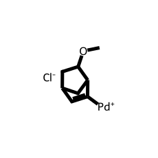 COC1CC2C=[C]([Pd+])C1C2.[Cl-]